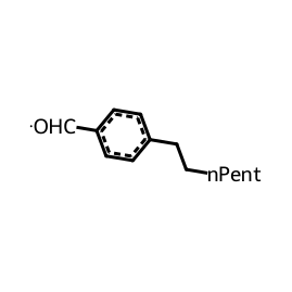 CCCCCCCc1ccc([C]=O)cc1